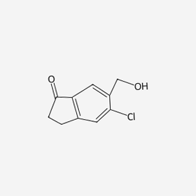 O=C1CCc2cc(Cl)c(CO)cc21